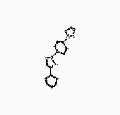 c1ccc(-c2cnc(-c3ccc(-n4cccn4)cc3)o2)cc1